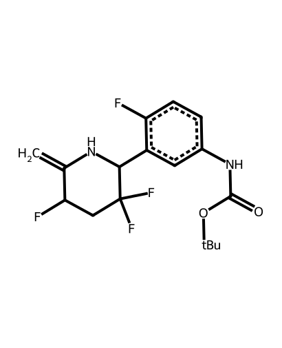 C=C1NC(c2cc(NC(=O)OC(C)(C)C)ccc2F)C(F)(F)CC1F